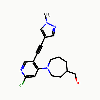 Cn1cc(C#Cc2cnc(Cl)cc2N2CCCC(CO)CC2)cn1